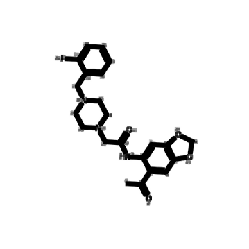 CC(=O)c1cc2c(cc1NC(=O)CN1CCN(Cc3ccccc3F)CC1)OCO2